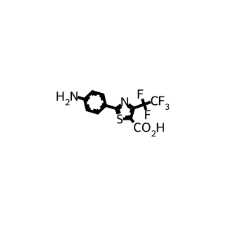 Nc1ccc(-c2nc(C(F)(F)C(F)(F)F)c(C(=O)O)s2)cc1